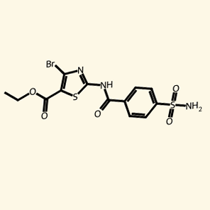 CCOC(=O)c1sc(NC(=O)c2ccc(S(N)(=O)=O)cc2)nc1Br